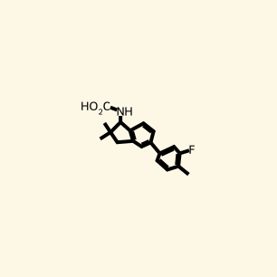 Cc1ccc(-c2ccc3c(c2)CC(C)(C)C3NC(=O)O)cc1F